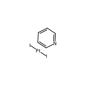 [I][Pt][I].c1ccncc1